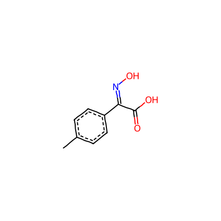 Cc1ccc(C(=NO)C(=O)O)cc1